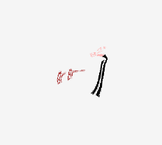 [B+2]C=C.[Br-].[Br-]